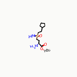 CCCCOC(=O)[C@@H](N)CCS(=N)(=O)CCC1CCCC1